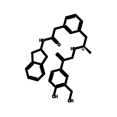 C=C(CN[C@H](C)Cc1cccc(CC(=O)NC2Cc3ccccc3C2)c1)c1ccc(O)c(CO)c1